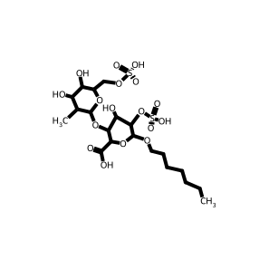 CCCCCCCOC1OC(C(=O)O)C(OC2OC(COS(=O)(=O)O)C(O)C(O)C2C)C(O)C1OS(=O)(=O)O